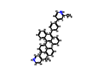 Cc1cc(-c2ccc(-c3c4ccccc4c(-c4ccc(-c5cnccc5C)c5ccccc45)c4ccccc34)cc2)ccn1